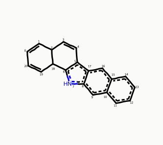 C1=CC2C=Cc3c([nH]c4cc5ccccc5cc34)C2C=C1